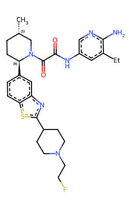 CCc1cc(NC(=O)C(=O)N2C[C@@H](C)CC[C@@H]2c2ccc3sc(C4CCN(CCF)CC4)nc3c2)cnc1N